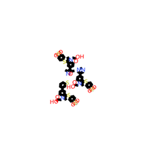 Cc1c(Sc2ccc(S(C)(=O)=O)cc2)c2cc(-c3cncnc3)ccc2n1CC(=O)O.Cc1c(Sc2ccc(S(C)(=O)=O)cc2)c2cc(C3=CC(=S)CC=C3)ccc2n1CC(=O)O.Cc1noc(C)c1-c1ccc2c(c1)c(Sc1ccc(S(C)(=O)=O)cc1)c(C)n2CC(=O)O